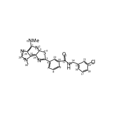 CNc1nc2sc(-c3cccc(C(=O)NCc4cccc(Cl)c4)c3)nc2c2c1ncn2C